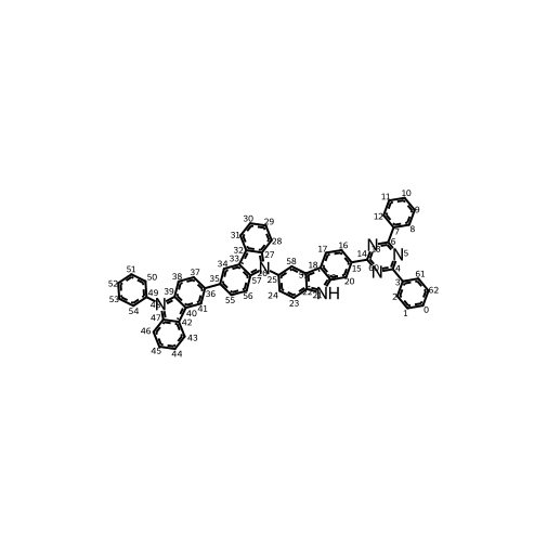 c1ccc(-c2nc(-c3ccccc3)nc(-c3ccc4c(c3)[nH]c3ccc(-n5c6ccccc6c6cc(-c7ccc8c(c7)c7ccccc7n8-c7ccccc7)ccc65)cc34)n2)cc1